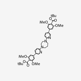 COc1cc(-c2ccc(N3CCCN(c4ccc(-c5cc(OC)c(C(=O)OC(C)(C)C)c(OC)c5)cn4)CC3)nc2)cc(OC)c1C(=O)OC(C)(C)C